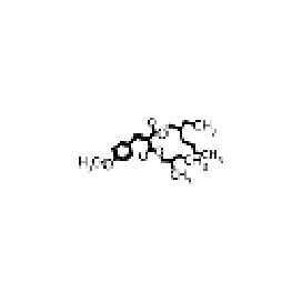 CCCCC(CC)COC(=O)/C(=C/c1ccc(OC)cc1)C(=O)OCC(C)CC